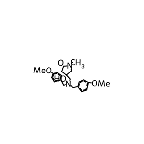 COc1ccc(CN(Cc2ccc(OC)cc2)CC2(O)CC(=O)N(C)C2)cc1